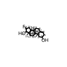 C[C@]12CC(O)CC=C1CC[C@@H]1[C@H]2CC[C@]2(C)C(O)C(F)C[C@@H]12